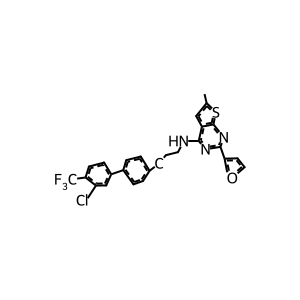 Cc1cc2c(NCCCc3ccc(-c4ccc(C(F)(F)F)c(Cl)c4)cc3)nc(-c3ccoc3)nc2s1